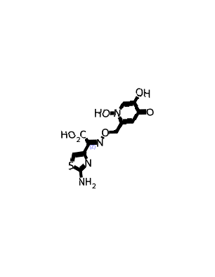 Nc1nc(/C(=N/OCc2cc(=O)c(O)cn2O)C(=O)O)cs1